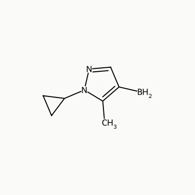 Bc1cnn(C2CC2)c1C